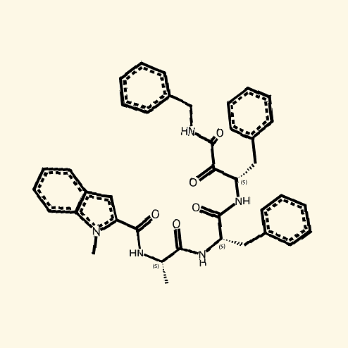 C[C@H](NC(=O)c1cc2ccccc2n1C)C(=O)N[C@@H](Cc1ccccc1)C(=O)N[C@@H](Cc1ccccc1)C(=O)C(=O)NCc1ccccc1